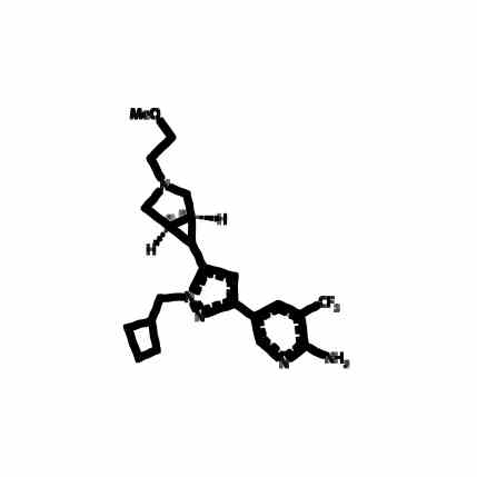 COCCN1C[C@@H]2C(c3cc(-c4cnc(N)c(C(F)(F)F)c4)nn3CC3CCC3)[C@@H]2C1